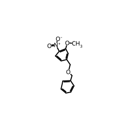 COc1cc(COCc2ccccc2)ccc1[N+](=O)[O-]